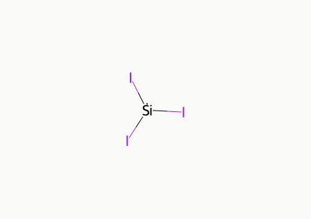 I[Si](I)I